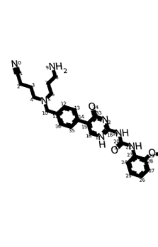 N#CCCCN(CCCN)Cc1ccc(-c2c[nH]c(NC(=O)Nc3ccccc3OCF)nc2=O)cc1